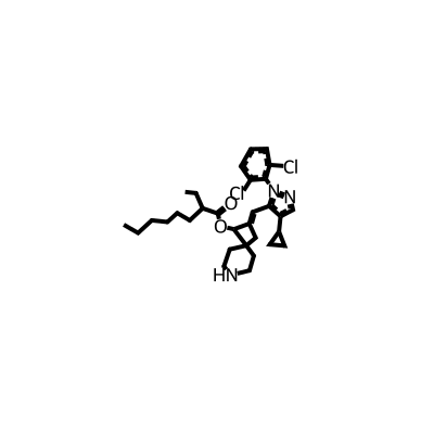 CCCCCCC(CC)C(=O)OC1C(=Cc2c(C3CC3)cnn2-c2c(Cl)cccc2Cl)CC12CCNCC2